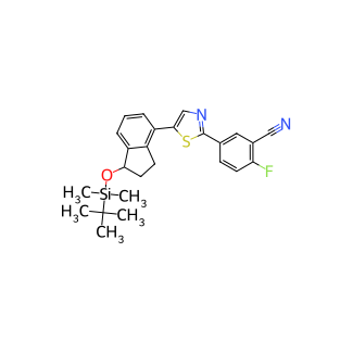 CC(C)(C)[Si](C)(C)OC1CCc2c(-c3cnc(-c4ccc(F)c(C#N)c4)s3)cccc21